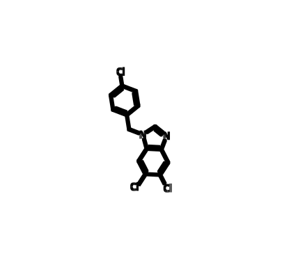 Clc1ccc(Cn2cnc3cc(Cl)c(Cl)cc32)cc1